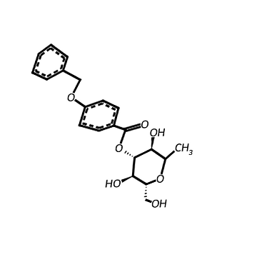 CC1O[C@H](CO)[C@@H](O)[C@H](OC(=O)c2ccc(OCc3ccccc3)cc2)[C@H]1O